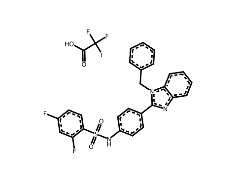 O=C(O)C(F)(F)F.O=S(=O)(Nc1ccc(-c2nc3ccccc3n2Cc2ccccc2)cc1)c1ccc(F)cc1F